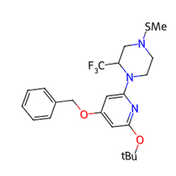 CSN1CCN(c2cc(OCc3ccccc3)cc(OC(C)(C)C)n2)C(C(F)(F)F)C1